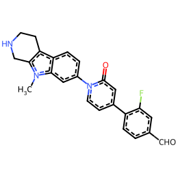 Cn1c2c(c3ccc(-n4ccc(-c5ccc(C=O)cc5F)cc4=O)cc31)CCNC2